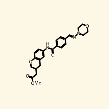 COC(=O)CC1COc2ccc(NC(=O)c3ccc(C=NN4CCOCC4)cc3)cc2C1